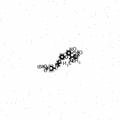 CN(C)/C=C(/c1cc([N+](=O)[O-])ccc1Oc1cccc(N2CC3(CN(CC4CCN(C(=O)OC(C)(C)C)CC4)C3)C2)c1)c1ccn(SI)c1C=O